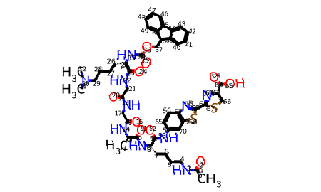 CC(=O)NCCCC[C@H](NC(=O)[C@H](C)NC(=O)CNC(=O)CNC(=O)[C@H](CCCCN(C)C)NC(=O)OCC1c2ccccc2-c2ccccc21)C(=O)Nc1ccc2nc(C3=N[C@@H](C(=O)O)CS3)sc2c1